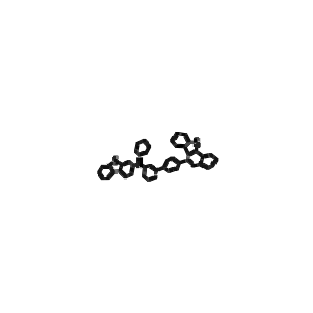 c1ccc(N(c2cccc(-c3ccc(-c4cc5ccccc5c5sc6ccccc6c45)cc3)c2)c2ccc3c(c2)sc2ccccc23)cc1